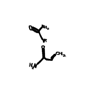 C=CC(N)=O.CC(C)C(N)=O